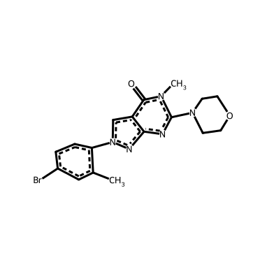 Cc1cc(Br)ccc1-n1cc2c(=O)n(C)c(N3CCOCC3)nc2n1